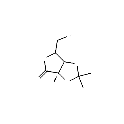 CC1(C)OC2C(CO)OC(=O)[C@H]2O1